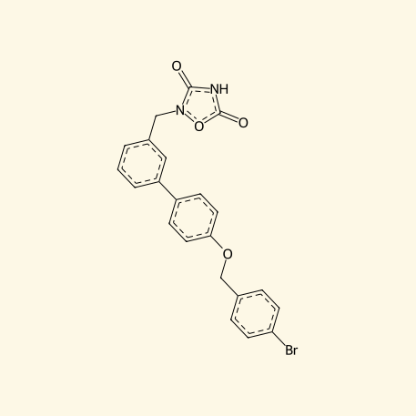 O=c1[nH]c(=O)n(Cc2cccc(-c3ccc(OCc4ccc(Br)cc4)cc3)c2)o1